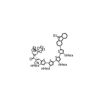 CCCCCCc1cc(-c2sc(-c3sc(-c4sc(-c5ccc6c(c5)c5ccccc5n6CC)cc4CCCCCC)cc3CCCCCC)cc2CCCCCC)sc1/C=C(\C#N)C(=O)N(CC#N)C[Si](OCC)(OCC)OCC